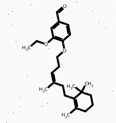 CCOc1cc(C=O)ccc1OCCC=C(C)CCC1=C(C)CCCC1(C)C